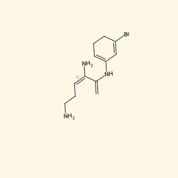 C=C(NC1=CCCC(Br)=C1)/C(N)=C\CCN